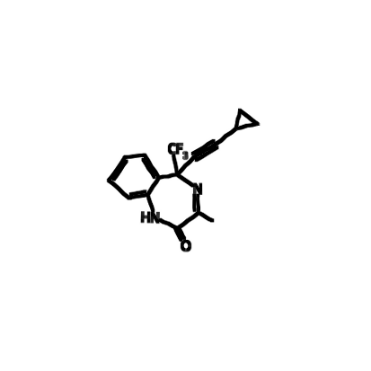 CC1=NC(C#CC2CC2)(C(F)(F)F)c2ccccc2NC1=O